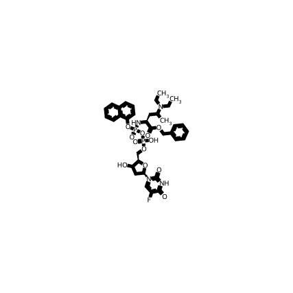 CCN(CC)C(C)C[C@H](NP(=O)(Oc1cccc2ccccc12)OP(=O)(O)OC[C@H]1O[C@@H](n2cc(F)c(=O)[nH]c2=O)CC1O)C(=O)OCc1ccccc1